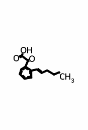 CCCCC=Cc1ccccc1C(=O)C(=O)O